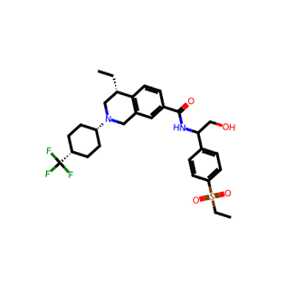 CC[C@H]1CN([C@H]2CC[C@@H](C(F)(F)F)CC2)Cc2cc(C(=O)NC(CO)c3ccc(S(=O)(=O)CC)cc3)ccc21